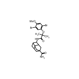 COc1cc(Br)c(OC(C)(C)C(=O)NC2C3CC4CC2CC(C(N)=O)(C4)C3)cc1Br